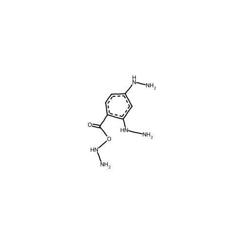 NNOC(=O)c1ccc(NN)cc1NN